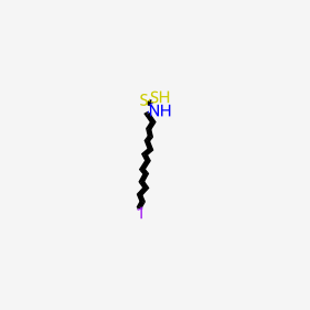 S=C(S)NCCCCCCCCCCCCCCCI